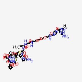 CCCC[C@H](NC(=O)CCC(=O)NCCCOCCOCCOCCCNC(=O)CN1CCN(C(=O)C(CNCC)CNCCN)CC1)C(=O)N=CC(CSCc1cccc(CSC[C@H](NC(=O)[C@H](Cc2ccccc2)NC(=O)[C@H](CCC(=O)O)NC(=O)[C@@H](C)[C@@H](C)O)C(=O)O)c1)C(=O)N1CCC[C@H]1C(=O)N1CCC[C@H]1C(N)=O